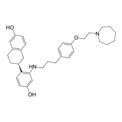 Oc1ccc2c(c1)CC[C@H](c1ccc(O)cc1NCCCc1ccc(OCCN3CCCCCC3)cc1)C2